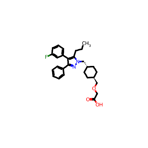 CCCc1c(-c2cccc(F)c2)c(-c2ccccc2)nn1C[C@H]1CC[C@H](COCC(=O)O)CC1